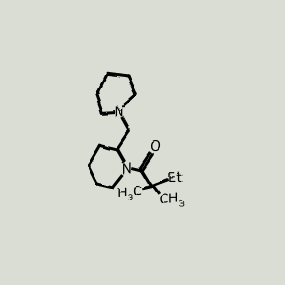 CCC(C)(C)C(=O)N1CCCCC1CN1CCCCC1